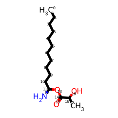 CCCCCCCCCCCC(N)OC(=O)C(C)O